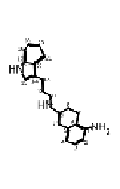 Nc1cccc2c1CCC(NCCCc1c[nH]c3ccccc13)C2